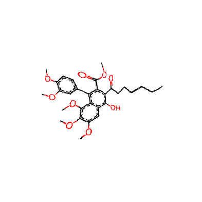 CCCCCCC(=O)c1c(C(=O)OC)c(-c2ccc(OC)c(OC)c2)c2c(OC)c(OC)c(OC)cc2c1O